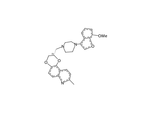 COc1cccc2c(N3CCN(C[C@H]4COc5ccc6nc(C)ccc6c5O4)CC3)coc12